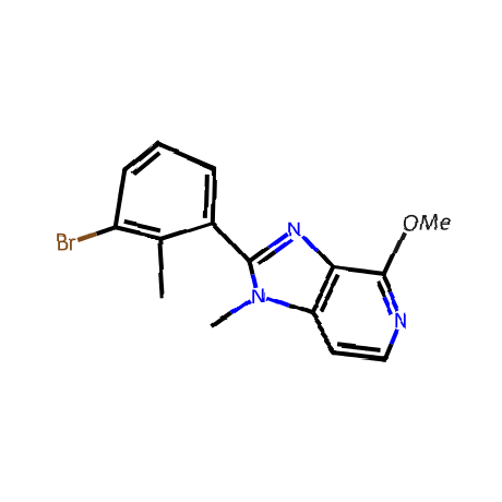 COc1nccc2c1nc(-c1cccc(Br)c1C)n2C